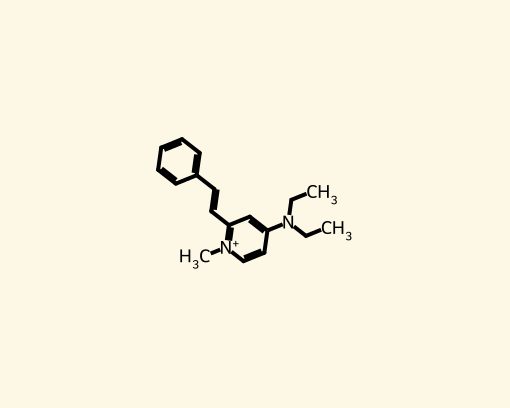 CCN(CC)c1cc[n+](C)c(C=Cc2ccccc2)c1